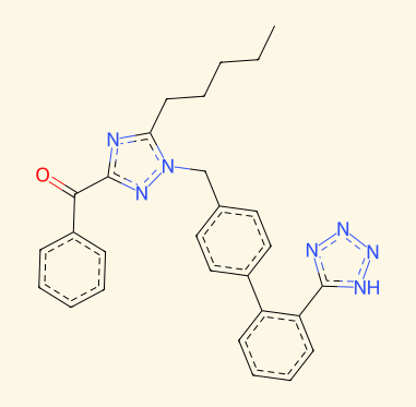 CCCCCc1nc(C(=O)c2ccccc2)nn1Cc1ccc(-c2ccccc2-c2nnn[nH]2)cc1